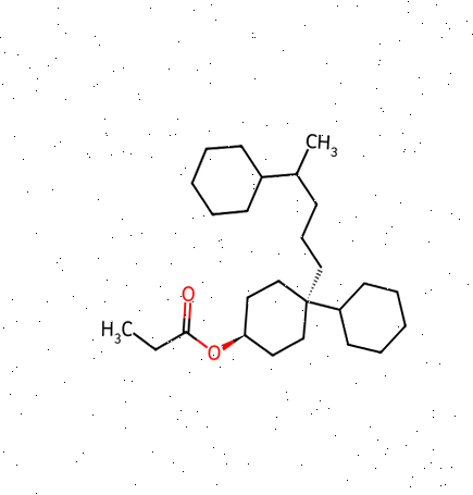 CCC(=O)O[C@H]1CC[C@@](CCCC(C)C2CCCCC2)(C2CCCCC2)CC1